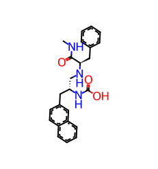 CNC(=O)[C@@H](Cc1ccccc1)NC[C@@H](Cc1ccc2ccccc2c1)NC(=O)O